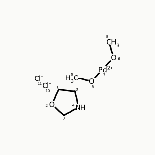 C1COCN1.C[O][Pd+2][O]C.[Cl-].[Cl-]